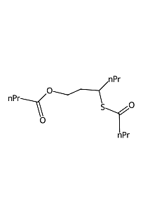 CCCC(=O)OCCC(CCC)SC(=O)CCC